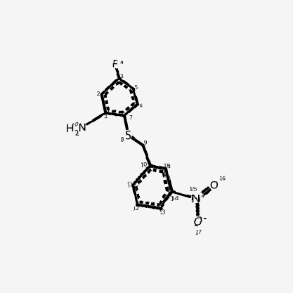 Nc1cc(F)ccc1SCc1cccc([N+](=O)[O-])c1